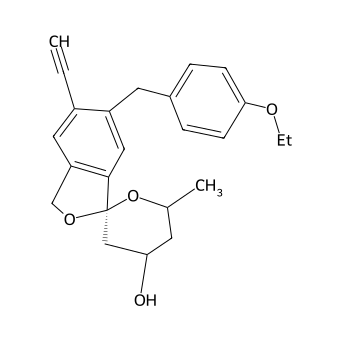 C#Cc1cc2c(cc1Cc1ccc(OCC)cc1)[C@]1(CC(O)CC(C)O1)OC2